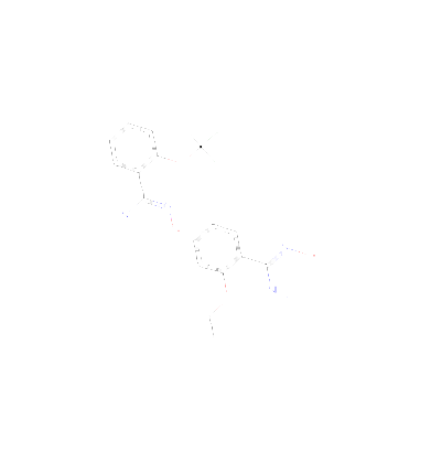 CCOc1ccccc1/C(N)=N/O.N/C(=N\O)c1ccccc1OC(F)(F)F